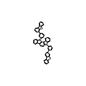 c1cc(-c2ccc3c(c2)sc2ccccc23)cc(-n2c3ccccc3c3c2ccc2c4ccccc4n(-c4cccc(-c5cccc6c5oc5ccccc56)c4)c23)c1